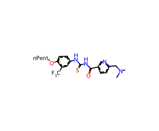 CCCCCOc1ccc(NC(=S)NC(=O)c2ccc(CN(C)C)nc2)cc1C(F)(F)F